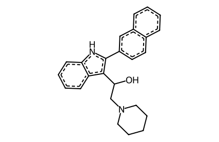 OC(CN1CCCCC1)c1c(-c2ccc3ccccc3c2)[nH]c2ccccc12